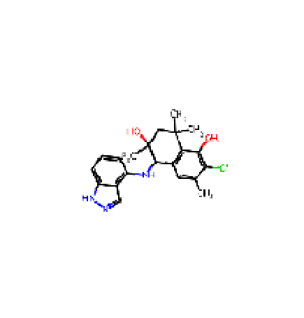 Cc1cc2c(c(O)c1Cl)C(C)(C)CC(O)(C(F)(F)F)C2Nc1cccc2[nH]ncc12